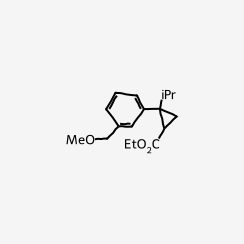 CCOC(=O)C1CC1(c1cccc(COC)c1)C(C)C